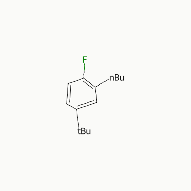 CCCCc1cc(C(C)(C)C)ccc1F